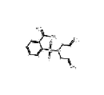 C=CCN(CC=C)S(=O)(=O)c1ccccc1C(=C)C